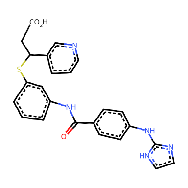 O=C(O)CC(Sc1cccc(NC(=O)c2ccc(Nc3ncc[nH]3)cc2)c1)c1cccnc1